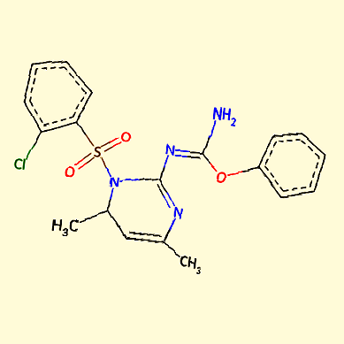 CC1=CC(C)N(S(=O)(=O)c2ccccc2Cl)C(N=C(N)Oc2ccccc2)=N1